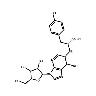 CCOC(=O)[C@@H](Cc1ccc(O)cc1)NN1C=Nc2c(ncn2[C@H]2O[C@@H](CO)C(O)C2O)C1N